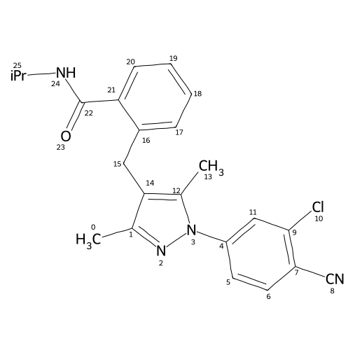 Cc1nn(-c2ccc(C#N)c(Cl)c2)c(C)c1Cc1ccccc1C(=O)NC(C)C